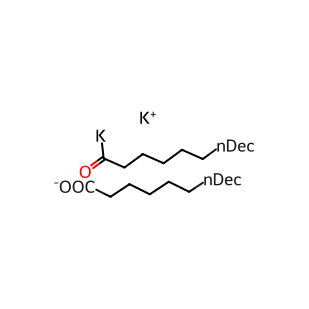 CCCCCCCCCCCCCCCC(=O)[O-].CCCCCCCCCCCCCCC[C](=O)[K].[K+]